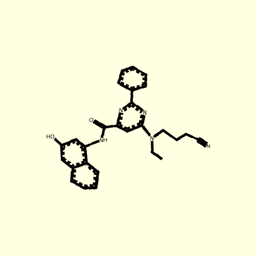 CCN(CCCC#N)c1cc(C(=O)Nc2cc(O)cc3ccccc23)nc(-c2ccccc2)n1